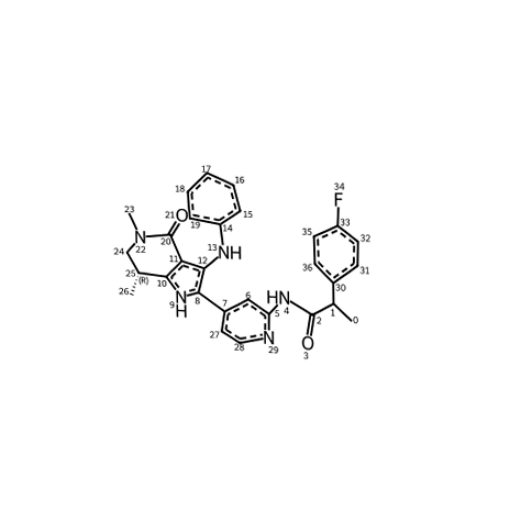 CC(C(=O)Nc1cc(-c2[nH]c3c(c2Nc2ccccc2)C(=O)N(C)C[C@H]3C)ccn1)c1ccc(F)cc1